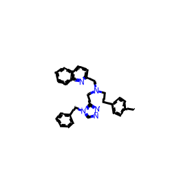 Cc1ccc(CCN(Cc2ccc3ccccc3n2)Cc2nncn2Cc2ccccc2)cc1